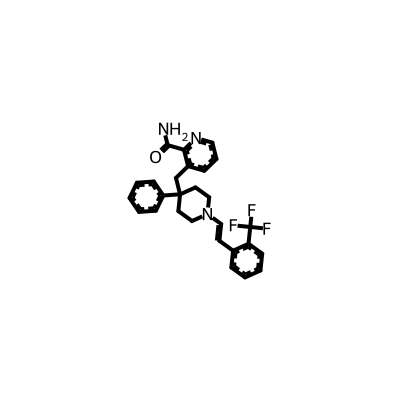 NC(=O)c1ncccc1CC1(c2ccccc2)CCN(C=Cc2ccccc2C(F)(F)F)CC1